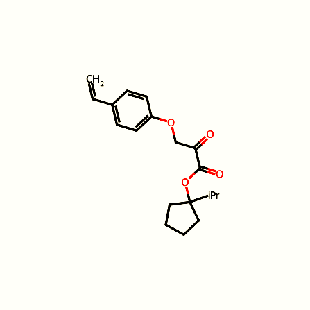 C=Cc1ccc(OCC(=O)C(=O)OC2(C(C)C)CCCC2)cc1